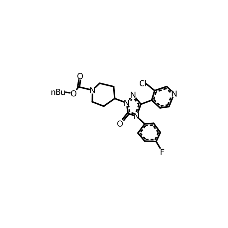 CCCCOC(=O)N1CCC(n2nc(-c3ccncc3Cl)n(-c3ccc(F)cc3)c2=O)CC1